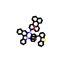 c1ccc(-c2cccc3cccc(-c4ccc(N(c5cccc(-c6cccc7sc8ccccc8c67)c5)c5cc6ccccc6c6c7ccccc7n(-c7ccccc7)c56)cc4)c23)cc1